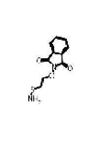 NSCCON1C(=O)c2ccccc2C1=O